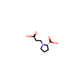 O=C(O)CCN1CCC[C@H]1C(=O)O